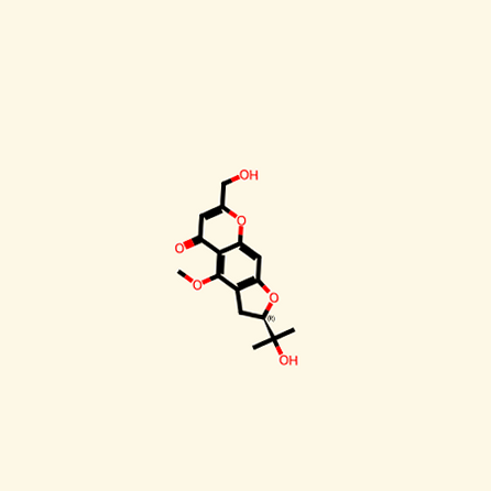 COc1c2c(cc3oc(CO)cc(=O)c13)O[C@@H](C(C)(C)O)C2